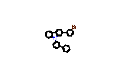 Brc1cccc(-c2ccc3c4ccccc4n(-c4cccc(-c5ccccc5)c4)c3c2)c1